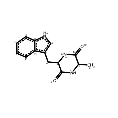 CC1NC(=O)C(Cc2c[nH]c3ccccc23)NC1=O